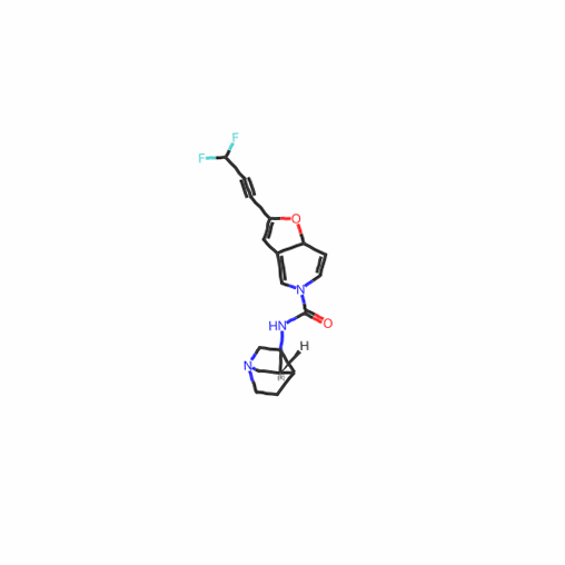 O=C(N[C@H]1CN2CCC1CC2)N1C=CC2OC(C#CC(F)F)=CC2=C1